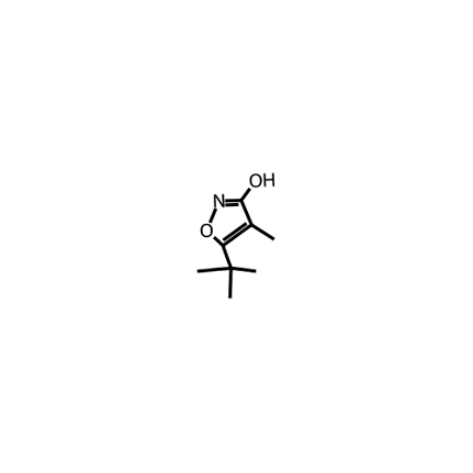 Cc1c(O)noc1C(C)(C)C